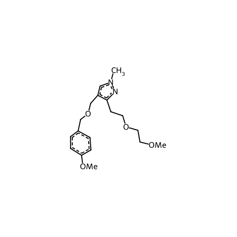 COCCOCCc1nn(C)cc1COCc1ccc(OC)cc1